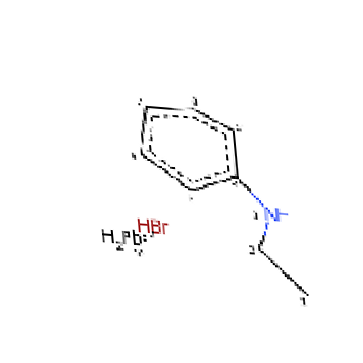 Br.CCNc1ccccc1.[PbH2]